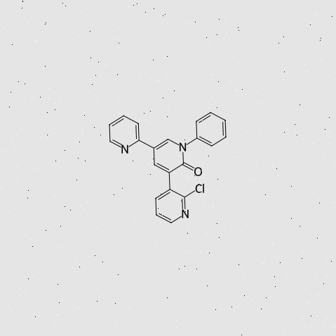 O=c1c(-c2cccnc2Cl)cc(-c2ccccn2)cn1-c1ccccc1